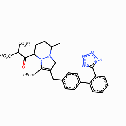 CCCCCC1=C(Cc2ccc(-c3ccccc3-c3nnn[nH]3)cc2)CN2C(C)CCC(C(=O)C(C(=O)OCC)C(=O)OCC)N12